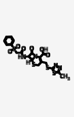 Cc1nnc(SCC2=C(C(=O)O)N3C(=O)C(NC(=O)CS(=O)(=O)c4ccccc4)[C@H]3SC2)s1